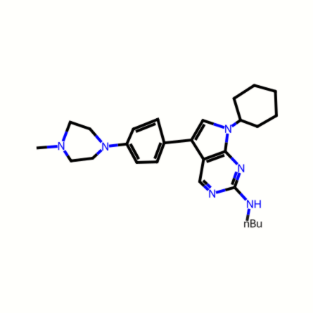 CCCCNc1ncc2c(-c3ccc(N4CCN(C)CC4)cc3)cn(C3CCCCC3)c2n1